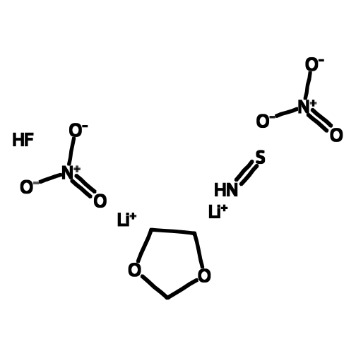 C1COCO1.F.N=S.O=[N+]([O-])[O-].O=[N+]([O-])[O-].[Li+].[Li+]